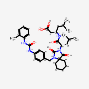 Cc1ccccc1NC(=O)Nc1ccc(CN2C(=O)N([C@@H](CC(C)C)C(=O)N[C@@H](CC(=O)O)CC(C)C)C(=O)C23CCCCC3)cc1